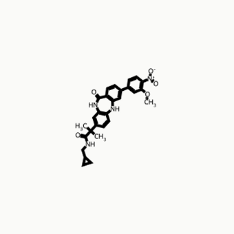 COc1cc(-c2ccc3c(c2)Nc2ccc(C(C)(C)C(=O)NCC4CC4)cc2NC3=O)ccc1[N+](=O)[O-]